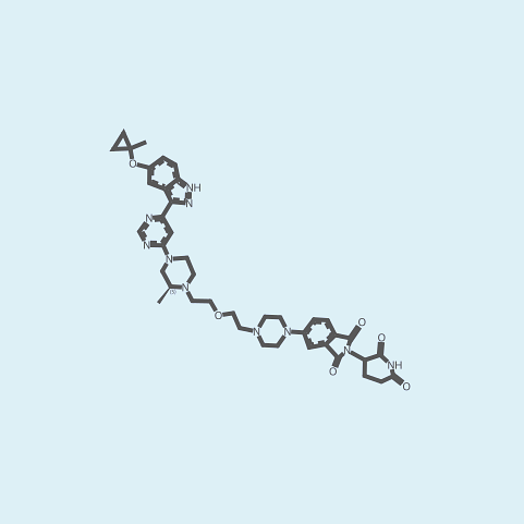 C[C@H]1CN(c2cc(-c3n[nH]c4ccc(OC5(C)CC5)cc34)ncn2)CCN1CCOCCN1CCN(c2ccc3c(c2)C(=O)N(C2CCC(=O)NC2=O)C3=O)CC1